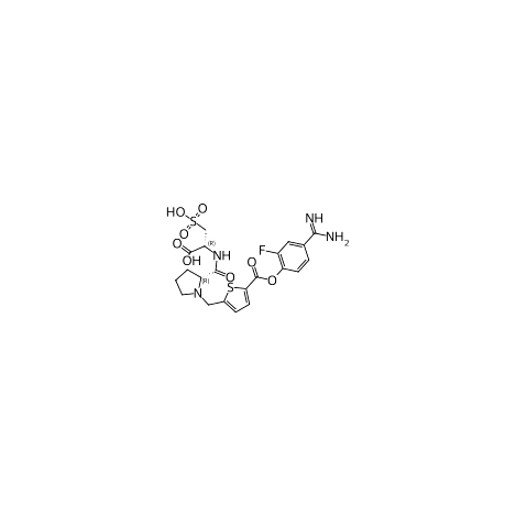 N=C(N)c1ccc(OC(=O)c2ccc(CN3CCC[C@@H]3C(=O)N[C@@H](CS(=O)(=O)O)C(=O)O)s2)c(F)c1